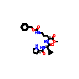 COC(=O)[C@H](CCCNC(=O)OCc1ccccc1)NC(=O)[C@@H](NC(=O)[C@@H]1CCCN1)C1CC1